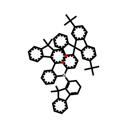 CC(C)(C)c1ccc2c(c1)C1(c3ccccc3-c3cc(N(C4=C5C(=CCC4)c4ccccc4C5(C)C)c4ccccc4-c4cccc5c4-c4ccccc4C5(C)C)ccc31)c1cc(C(C)(C)C)ccc1-2